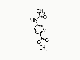 COC(=O)c1ccc(NC(C)=O)cn1